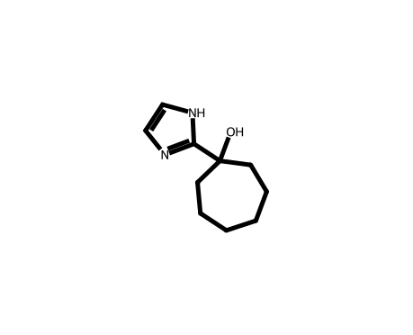 OC1(c2ncc[nH]2)CCCCCC1